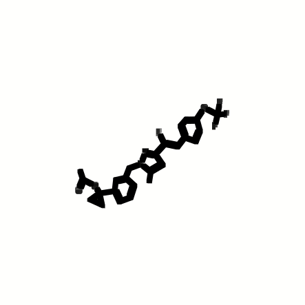 CC(=O)OC1(c2cccc(Cn3nc(C(F)=Cc4ccc(OC(F)(F)F)cc4)cc3C)c2)CC1